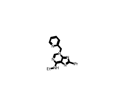 CCNc1ncn(Cc2ccccn2)c2nc(C(C)C)nc1-2